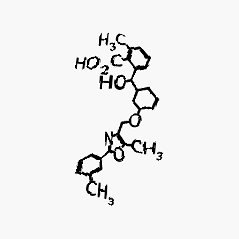 Cc1cccc(-c2nc(COC3CCCC(C(O)c4cccc(C)c4C(=O)O)C3)c(C)o2)c1